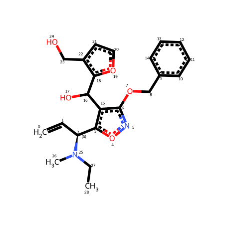 C=C[C@@H](c1onc(OCc2ccccc2)c1C(O)c1occc1CO)N(C)CC